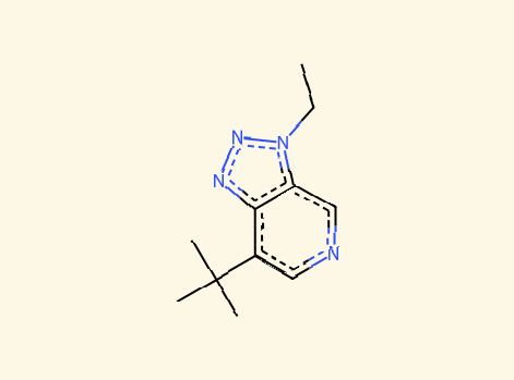 CCn1nnc2c(C(C)(C)C)cncc21